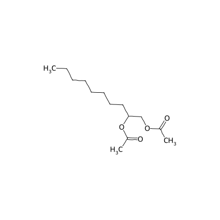 CCCCCCCCC(COC(C)=O)OC(C)=O